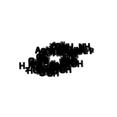 CC(=O)[C@@H](Cc1c[nH]c2ccccc12)NC(=O)[C@H]1CCCN1C(=O)[C@@H](CCC(N)=O)NC(=O)[C@H](NC(=O)[C@@H](CO)NC(=O)[C@H]1CCCN1C(=O)[C@@H](CO)NC(=O)[C@H]1CCCN1C(=O)[C@@H](CO)NC(=O)[C@@H](CCCNC(=N)N)NC(=O)[C@@H](C)NC(=O)[C@H]1CCCN1C(=O)[C@@H](C)N)C(C)O